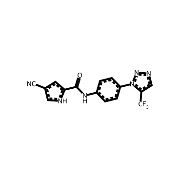 N#Cc1c[nH]c(C(=O)Nc2ccc(-n3nncc3C(F)(F)F)cc2)c1